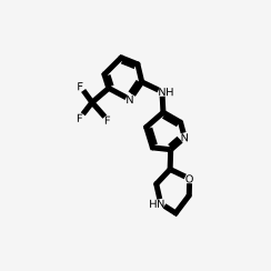 FC(F)(F)c1cccc(Nc2ccc(C3CNCCO3)nc2)n1